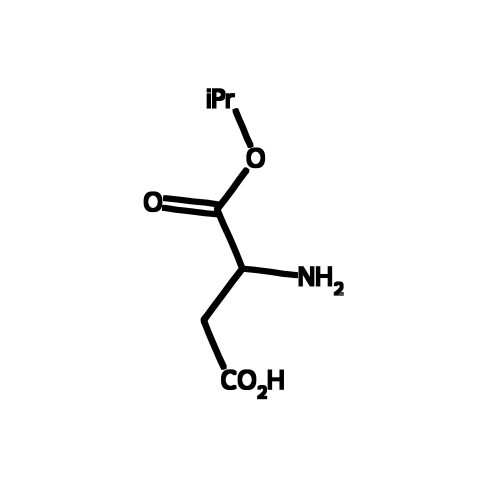 CC(C)OC(=O)C(N)CC(=O)O